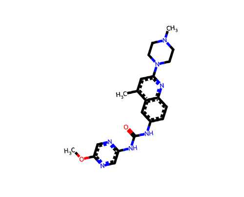 COc1cnc(NC(=O)Nc2ccc3nc(N4CCN(C)CC4)cc(C)c3c2)cn1